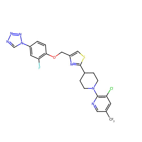 Fc1cc(-n2cnnn2)ccc1OCc1csc(C2CCN(c3ncc(C(F)(F)F)cc3Cl)CC2)n1